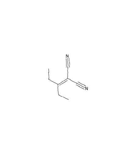 CCC(CC)=C(C#N)C#N